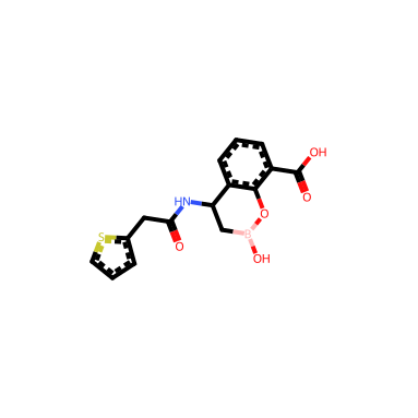 O=C(Cc1cccs1)NC1CB(O)Oc2c(C(=O)O)cccc21